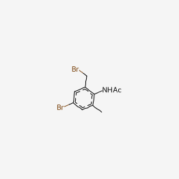 CC(=O)Nc1c(C)cc(Br)cc1CBr